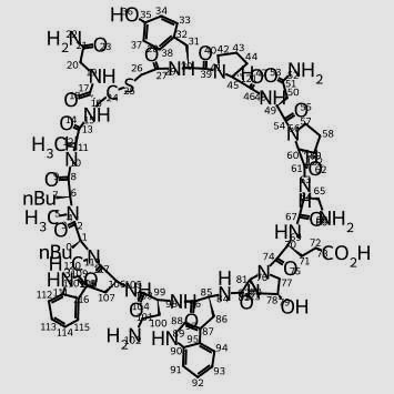 CCCC[C@H]1C(=O)N(C)[C@@H](CCCC)C(=O)N[C@@H](C)C(=O)N[C@H](C(=O)NCC(N)=O)CSCC(=O)N[C@@H](Cc2ccc(O)cc2)C(=O)N2CCC[C@H]2C(=O)N[C@@H](CC(N)=O)C(=O)N2CCC[C@H]2C(=O)N[C@@H](CN)C(=O)N[C@@H](CCC(=O)O)C(=O)N2C[C@@H](O)C[C@H]2C(=O)N[C@@H](Cc2c[nH]c3ccccc23)C(=O)N[C@@H](CCN)C(=O)N[C@@H](Cc2c[nH]c3ccccc23)C(=O)N1C